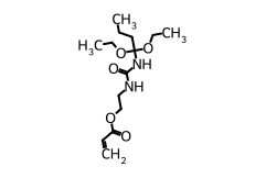 C=CC(=O)OCCNC(=O)NC(CCC)(OCC)OCC